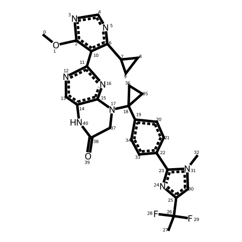 COc1ncnc(C2CC2)c1-c1ncc2c(n1)N(C1(c3ccc(-c4nc(C(C)(F)F)cn4C)cc3)CC1)CC(=O)N2